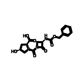 O=C(N[C@H]1CN(C(=O)N2C[C@H](O)C[C@H]2C(=O)O)C1=O)OCc1ccccc1